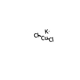 [Cl][Cu][Cl].[K]